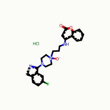 Cl.O=c1cc(NCCC[N+]2([O-])CCN(c3nccc4ccc(F)cc34)CC2)c2ccccc2o1